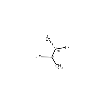 CC[C@H](I)C(C)F